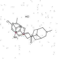 Cc1cc(C=CC(=O)N2C3CN(C)CC2CN(Cc2ccc(F)cc2)C3)c(N)cc1Cl.Cl